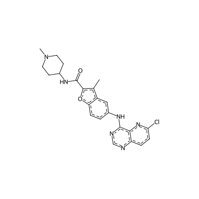 Cc1c(C(=O)NC2CCN(C)CC2)oc2ccc(Nc3ncnc4ccc(Cl)nc34)cc12